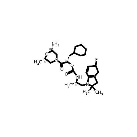 C[C@@H]1CN(C(=O)[C@H](CC2CCCCC2)OC(=O)N[C@@H](C)CN2C3=C(CC(F)C=C3)CC2(C)C)C[C@H](C)O1